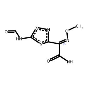 CO/N=C(/C([NH])=O)c1nsc(NC=O)n1